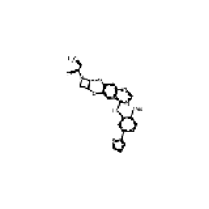 C=CC(=O)N1CC(Oc2cc3c(Nc4cc(-c5cccs5)ccc4OC)ncnc3cc2OC)C1